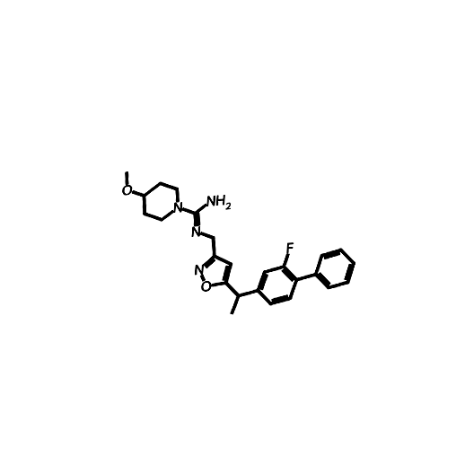 COC1CCN(/C(N)=N/Cc2cc(C(C)c3ccc(-c4ccccc4)c(F)c3)on2)CC1